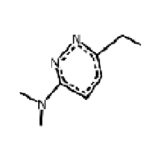 CCc1ccc(N(C)C)nn1